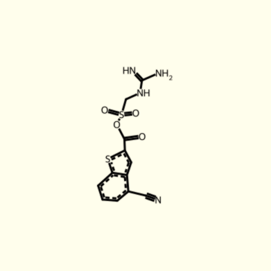 N#Cc1cccc2sc(C(=O)OS(=O)(=O)CNC(=N)N)cc12